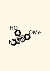 COc1ccc(CN(Cc2ccncc2)S(=O)(=O)c2ccc(O)cc2)cc1